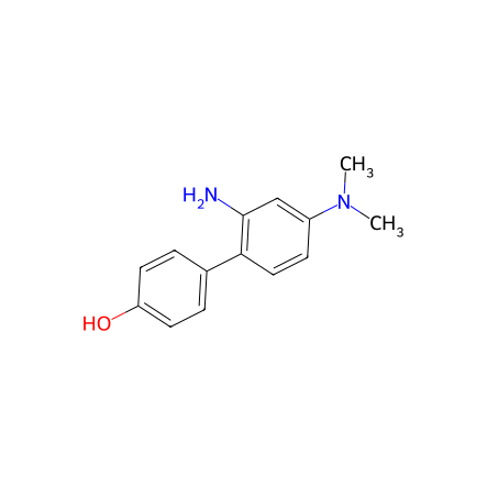 CN(C)c1ccc(-c2ccc(O)cc2)c(N)c1